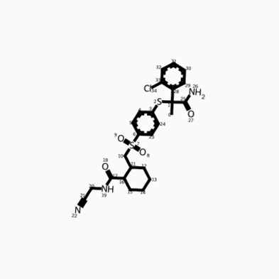 CC(Sc1ccc(S(=O)(=O)CC2CCCCC2C(=O)NCC#N)cc1)(C(N)=O)c1ccccc1Cl